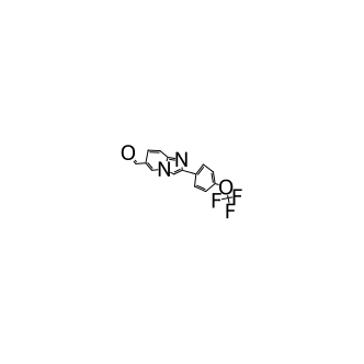 O=Cc1ccc2nc(-c3ccc(OC(F)(F)F)cc3)cn2c1